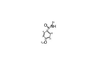 COc1ccc(C(=O)NI)cc1